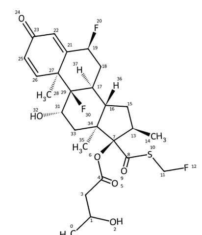 CC(O)CC(=O)O[C@]1(C(=O)SCF)[C@H](C)C[C@H]2[C@@H]3C[C@H](F)C4=CC(=O)C=C[C@]4(C)[C@@]3(F)[C@@H](O)C[C@@]21C